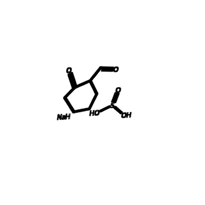 O=CC1CCCCC1=O.O=S(O)O.[NaH]